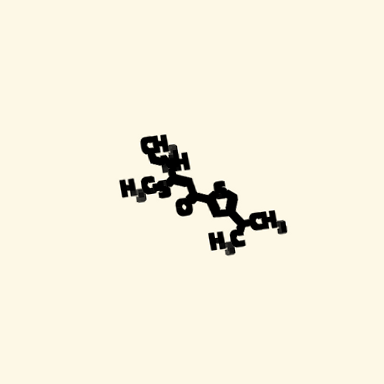 CCNC(=CC(=O)c1cc(C(C)C)cs1)SC